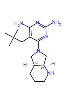 CC(C)(C)Cc1c(N)nc(N)nc1N1C[C@@H]2CCCN[C@@H]2C1